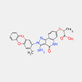 Cc1cc(Oc2ccccc2)c(O)cc1-n1nc2c(c1N)c(=O)[nH]c1cc(OC(C)C(=O)O)ccc12